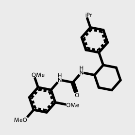 COc1cc(OC)c(NC(=O)NC2CCCCC2c2ccc(C(C)C)cc2)c(OC)c1